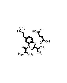 CNCCc1ccc(OC(=O)C(C)C)c(OC(=O)C(C)C)c1.O=C(O)C=CC(=O)O